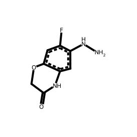 NNc1cc2c(cc1F)OCC(=O)N2